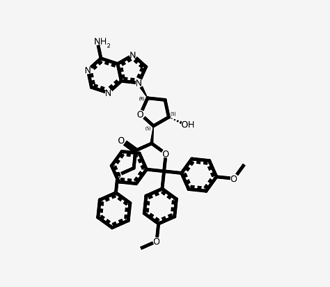 COc1ccc(C(OC(C(=O)COc2ccccc2)[C@H]2O[C@@H](n3cnc4c(N)ncnc43)C[C@@H]2O)(c2ccccc2)c2ccc(OC)cc2)cc1